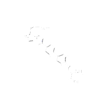 C[C@H](O)c1nccn1[C@@H](/C=C(\F)c1ccc(-c2ccc(OCC(N)CO)cc2)cc1)CO